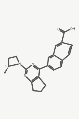 C[C@H]1CCN1c1nc2c(c(-c3ccc4ccc(C(=O)O)cc4c3)n1)CCC2